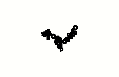 COC1CCC([C@@H]2CCN(C(=O)C3CCC([C@@H](CF)NC(=O)OC(C)(C)C)CC3)[C@@H]2C(=O)Nc2ccc3oc(C(=O)OC(C)OC(=O)OC4CCCCC4)cc3c2)CC1